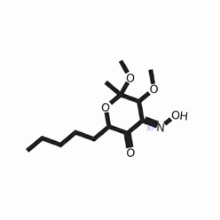 CCCCCC1OC(C)(OC)C(OC)/C(=N\O)C1=O